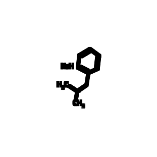 C[C](C)Cc1ccccc1.[NaH]